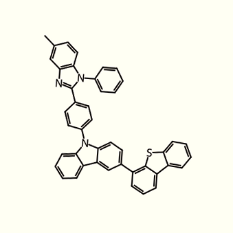 Cc1ccc2c(c1)nc(-c1ccc(-n3c4ccccc4c4cc(-c5cccc6c5sc5ccccc56)ccc43)cc1)n2-c1ccccc1